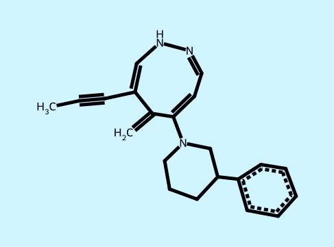 C=C1/C(C#CC)=C\N/N=C\C=C/1N1CCCC(c2ccccc2)C1